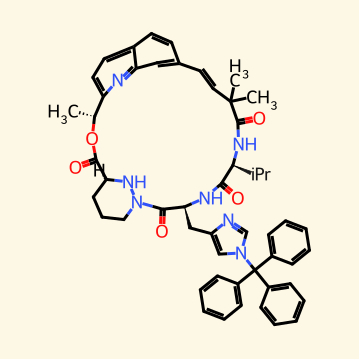 CC(C)[C@@H]1NC(=O)C(C)(C)/C=C/c2ccc3ccc(nc3c2)[C@@H](C)OC(=O)[C@@H]2CCCN(N2)C(=O)[C@H](Cc2cn(C(c3ccccc3)(c3ccccc3)c3ccccc3)cn2)NC1=O